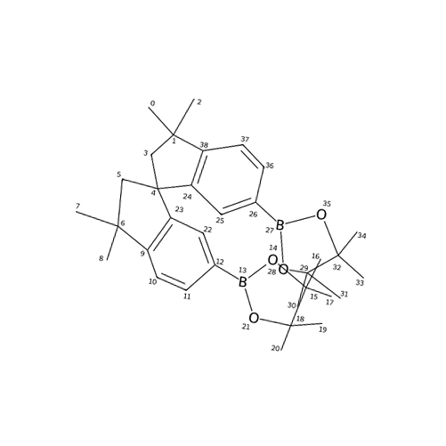 CC1(C)CC2(CC(C)(C)c3ccc(B4OC(C)(C)C(C)(C)O4)cc32)c2cc(B3OC(C)(C)C(C)(C)O3)ccc21